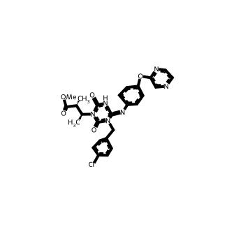 COC(=O)[C@H](C)[C@H](C)n1c(=O)[nH]/c(=N\c2ccc(Oc3cnccn3)cc2)n(Cc2ccc(Cl)cc2)c1=O